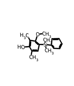 COc1c([Si](C)(C)c2ccccc2)cc(C)c(O)c1C